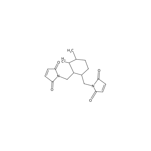 CC1CCC(CN2C(=O)C=CC2=O)C(CN2C(=O)C=CC2=O)C1C